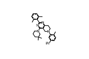 Cc1ccc(C(C)C)cc1N1CCc2nc(-c3c(C)cccc3C)nc(N3CCCC(C)(C)C3)c2C1